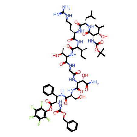 CC[C@H](C)[C@H](NC(=O)[C@@H](CCCNC(=N)N)NC(=O)[C@H](CC(C)C)NC(=O)[C@@H](NC(=O)OC(C)(C)C)[C@H](O)C(C)C)C(=O)NC(C(=O)NCC(=O)N[C@H](C(=O)N[C@@H](CO)C(=O)N[C@H](c1ccccc1)[C@H](NC(=O)OCc1ccccc1)C(=O)Oc1c(F)c(F)c(F)c(F)c1F)[C@H](O)C(N)=O)[C@H](C)O